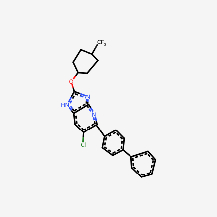 FC(F)(F)C1CCC(Oc2nc3nc(-c4ccc(-c5ccccc5)cc4)c(Cl)cc3[nH]2)CC1